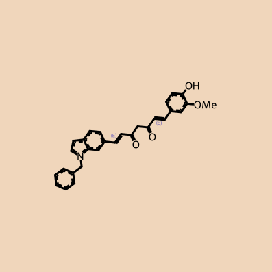 COc1cc(/C=C/C(=O)CC(=O)/C=C/c2ccc3ccn(Cc4ccccc4)c3c2)ccc1O